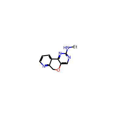 CCNc1ncc2c(n1)-c1cccnc1CO2